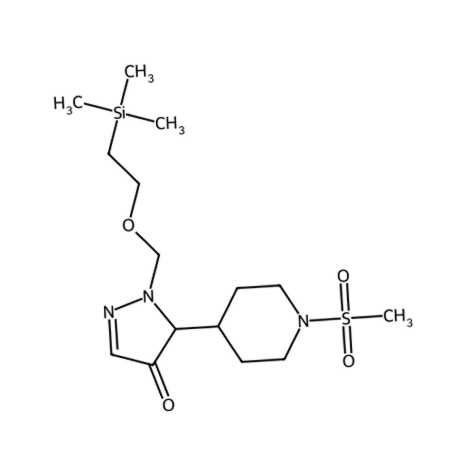 C[Si](C)(C)CCOCN1N=CC(=O)C1C1CCN(S(C)(=O)=O)CC1